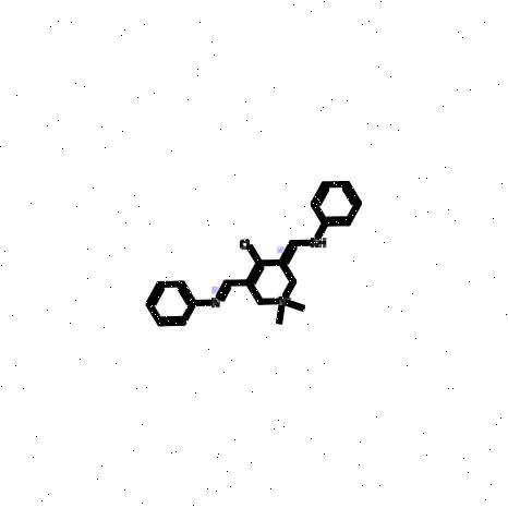 C[N+]1(C)CC(/C=N/c2ccccc2)=C(Cl)C(=C/Nc2ccccc2)/C1